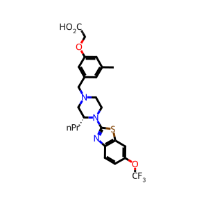 CCC[C@@H]1CN(Cc2cc(C)cc(OCC(=O)O)c2)CCN1c1nc2ccc(OC(F)(F)F)cc2s1